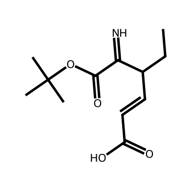 CCC(C=CC(=O)O)C(=N)C(=O)OC(C)(C)C